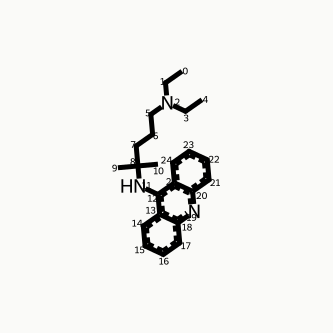 CCN(CC)CCCC(C)(C)Nc1c2ccccc2nc2ccccc12